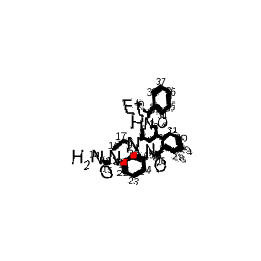 CC[C@H](NC(=O)c1c(C(C)N2CCN(C(N)=O)CC2)n(-c2ccccc2)c(=O)c2ccccc12)c1ccccc1